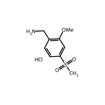 COc1cc(S(C)(=O)=O)ccc1CN.Cl